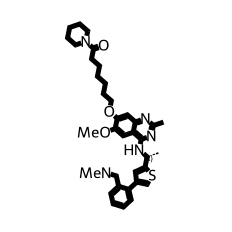 CNCc1ccccc1-c1csc([C@@H](C)Nc2nc(C)nc3cc(OCCCCCCC(=O)N4CCCCC4)c(OC)cc23)c1